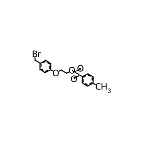 Cc1ccc(S(=O)(=O)OCCOc2ccc(CBr)cc2)cc1